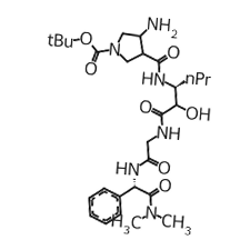 CCC[C@H](NC(=O)C1CN(C(=O)OC(C)(C)C)CC1N)C(O)C(=O)NCC(=O)N[C@H](C(=O)N(C)C)c1ccccc1